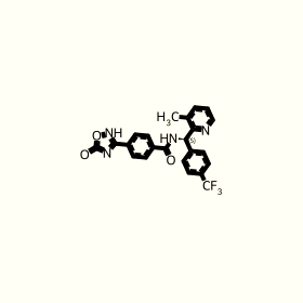 Cc1cccnc1[C@@H](NC(=O)c1ccc(-c2nc(=O)o[nH]2)cc1)c1ccc(C(F)(F)F)cc1